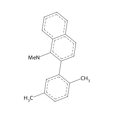 CNc1c(-c2cc(C)ccc2C)ccc2ccccc12